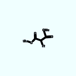 [CH2]CC(C(=O)OC)C(=O)OC(C)(C)C